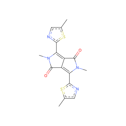 Cc1cnc(C2=C3C(=O)N(C)C(c4ncc(C)s4)=C3C(=O)N2C)s1